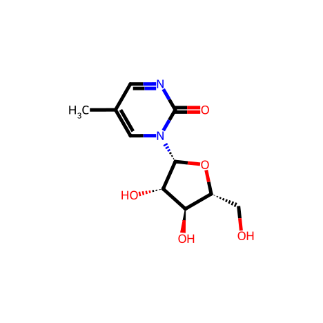 Cc1cnc(=O)n([C@@H]2O[C@H](CO)[C@@H](O)[C@@H]2O)c1